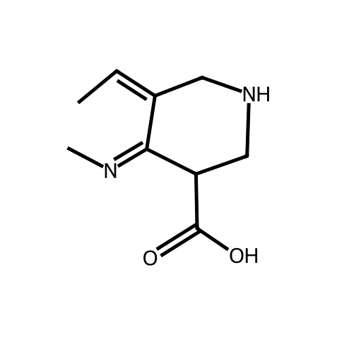 C/C=C1/CNCC(C(=O)O)/C1=N/C